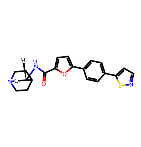 O=C(N[C@H]1CN2CCC1CC2)c1ccc(-c2ccc(-c3ccns3)cc2)o1